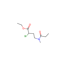 CCOC(=O)C(Br)CCN(C)C(=O)CC